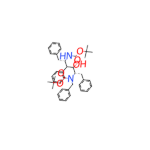 CC(C)(C)OC(=O)N[C@@H](Cc1ccccc1)C(c1ccccc1)C(O)[C@H](Cc1ccccc1)N(Cc1ccccc1)C(=O)OC(C)(C)C